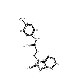 O=C(CCn1c(=O)oc2ccccc21)Oc1ccc(Cl)cc1